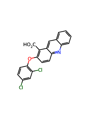 O=C(O)c1c(Oc2ccc(Cl)cc2Cl)ccc2nc3ccccc3cc12